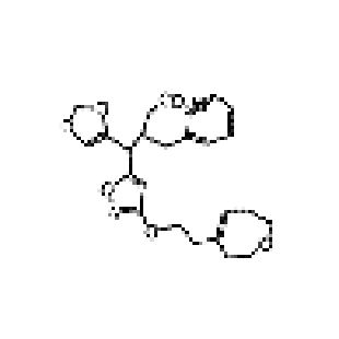 CCOC(=O)CC(Cc1ccccc1)C(C1=COCO1)c1cc(OCCC2=CCCOCC2)no1